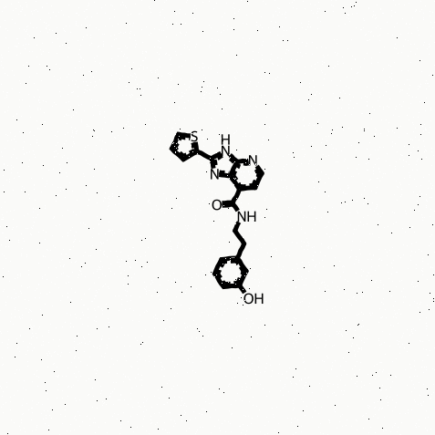 O=C(NCCc1cccc(O)c1)c1ccnc2[nH]c(-c3cccs3)nc12